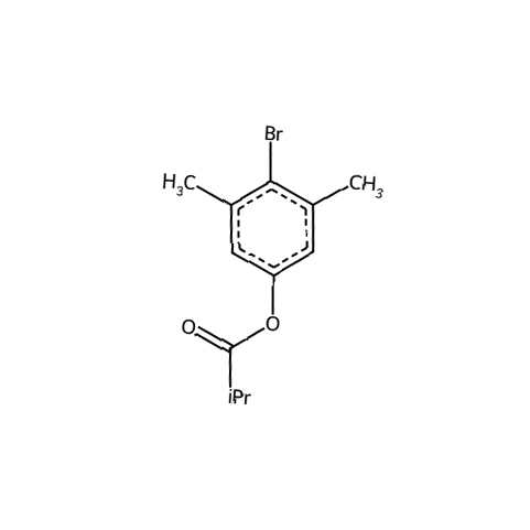 Cc1cc(OC(=O)C(C)C)cc(C)c1Br